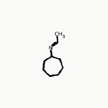 C/C=N/C1CCCCCC1